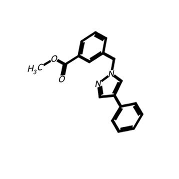 COC(=O)c1cccc(Cn2cc(-c3ccccc3)cn2)c1